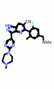 CNCc1cc(C)c(-c2nc3c(-c4cnc(N5CCN(C)CC5)nc4)n[nH]c3cc2C#N)c(F)c1